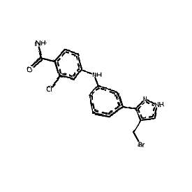 [NH]C(=O)c1ccc(Nc2cccc(-c3n[nH]cc3CBr)c2)cc1Cl